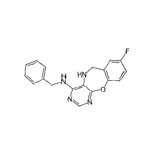 Fc1ccc2c(c1)CNc1c(NCc3ccccc3)ncnc1O2